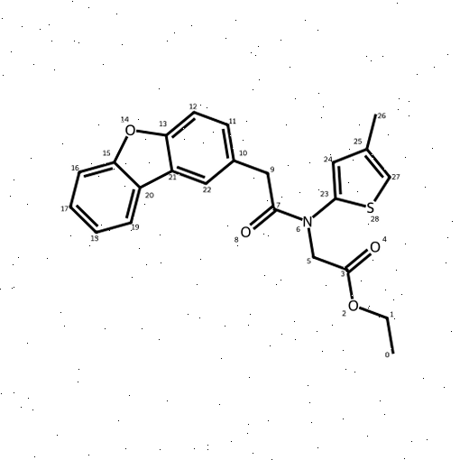 CCOC(=O)CN(C(=O)Cc1ccc2oc3ccccc3c2c1)c1cc(C)cs1